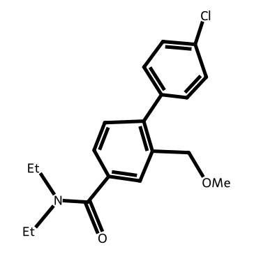 CCN(CC)C(=O)c1ccc(-c2ccc(Cl)cc2)c(COC)c1